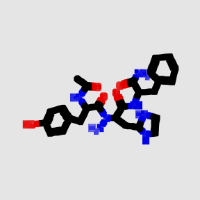 CC(=O)NC(Cc1ccc(O)cc1)C(=O)N(N)C(CC1NC=CN1)C(=O)NC(Cc1ccccc1)C(N)=O